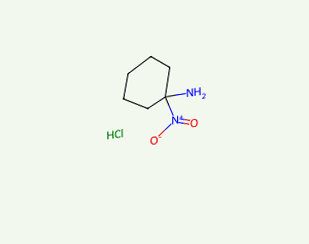 Cl.NC1([N+](=O)[O-])CCCCC1